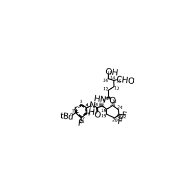 CC(C)(C)c1ccc(NC(=O)[C@H](NC(=O)CCC(C=O)CO)C2CCC(F)(F)CC2)cc1F